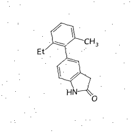 CCc1cccc(C)c1-c1ccc2c(c1)CC(=O)N2